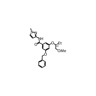 CC[C@@H](COC)Oc1cc(OCc2ccccc2)cc(C(=O)Nc2ccn(C)n2)c1